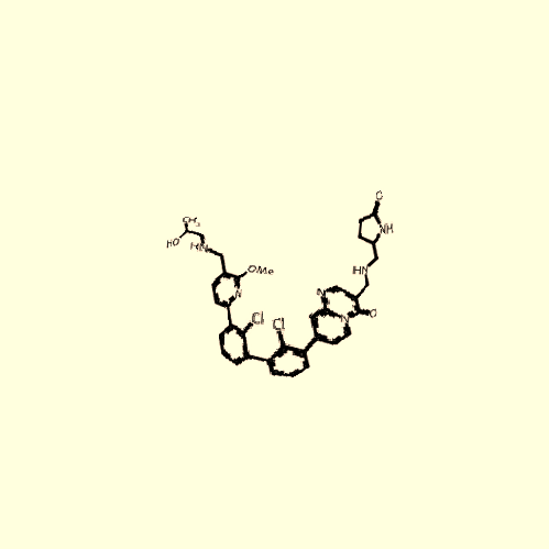 COc1nc(-c2cccc(-c3cccc(-c4ccn5c(=O)c(CNCC6CCC(=O)N6)cnc5c4)c3Cl)c2Cl)ccc1CNCC(C)O